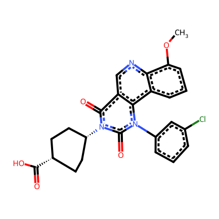 COc1cccc2c1ncc1c(=O)n([C@H]3CC[C@@H](C(=O)O)CC3)c(=O)n(-c3cccc(Cl)c3)c12